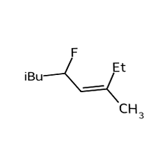 CC/C(C)=C\C(F)C(C)CC